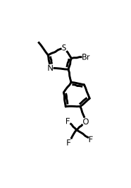 Cc1nc(-c2ccc(OC(F)(F)F)cc2)c(Br)s1